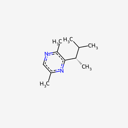 Cc1cnc(C)c([C@@H](C)C(C)C)n1